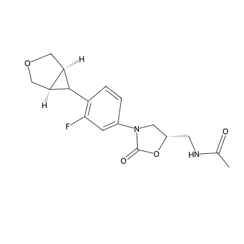 CC(=O)NC[C@H]1CN(c2ccc(C3[C@H]4COC[C@@H]34)c(F)c2)C(=O)O1